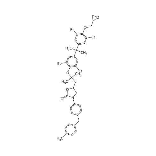 CCc1cc(C(C)(C)c2cc(CC)c(OC(C)(C)CC3CN(c4ccc(Cc5ccc(C)cc5)cc4)C(=O)O3)c(CC)c2)cc(CC)c1OCC1CO1